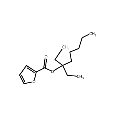 CCCCCC(CC)(CC)OC(=O)c1ccco1